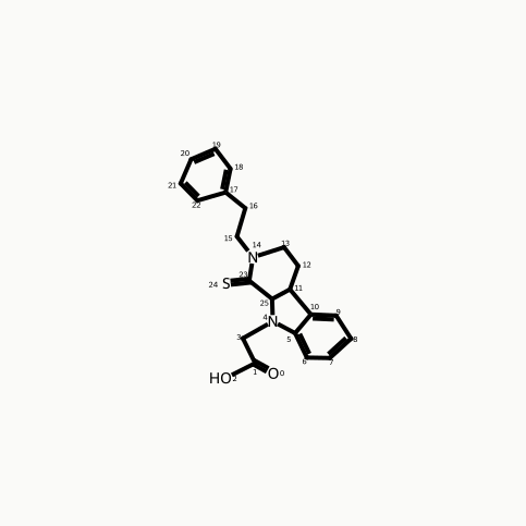 O=C(O)CN1c2ccccc2C2CCN(CCc3ccccc3)C(=S)C21